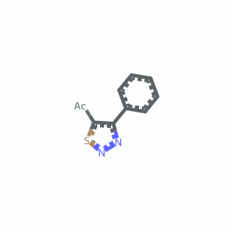 CC(=O)c1snnc1-c1ccccc1